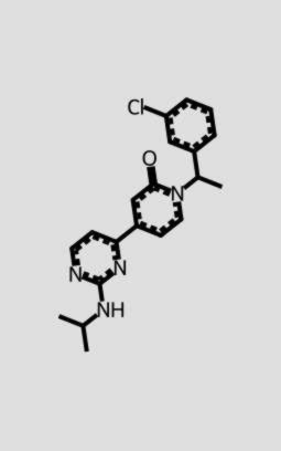 CC(C)Nc1nccc(-c2ccn(C(C)c3cccc(Cl)c3)c(=O)c2)n1